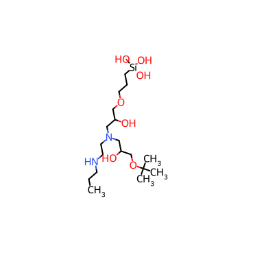 CCCNCCN(CC(O)COCCC[Si](O)(O)O)CC(O)COC(C)(C)C